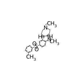 CCN1CC[C@@H]2c3cc(S(=O)(=O)c4cccc(C)c4)ccc3N(C)[C@@H]2CC1